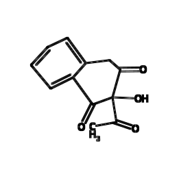 CC(=O)C1(O)C(=O)Cc2ccccc2C1=O